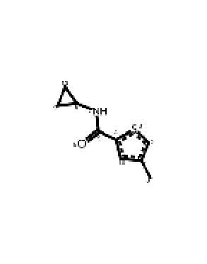 Cc1csc(C(=O)NC2CC2)c1